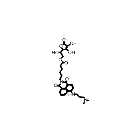 CN(C)CCCNc1ccc2c3c(cccc13)C(=O)N(CCCCCC(=O)OCC(O)C1OC(=O)C(O)=C1O)C2=O